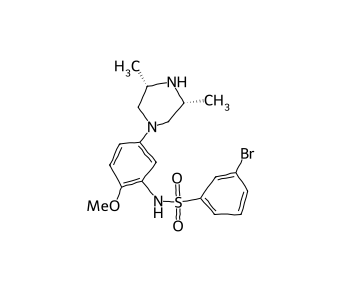 COc1ccc(N2C[C@@H](C)N[C@@H](C)C2)cc1NS(=O)(=O)c1cccc(Br)c1